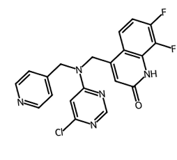 O=c1cc(CN(Cc2ccncc2)c2cc(Cl)ncn2)c2ccc(F)c(F)c2[nH]1